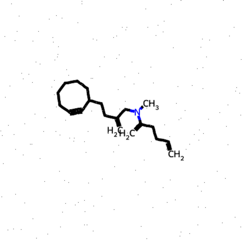 C=CCCC(=C)N(C)CC(=C)CCC1C#CCCCCC1